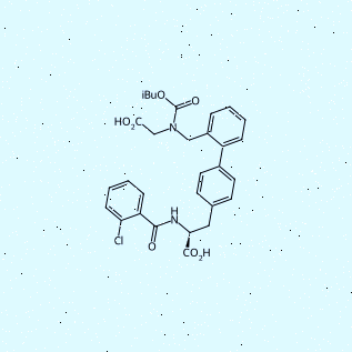 CC(C)COC(=O)N(CC(=O)O)Cc1ccccc1-c1ccc(C[C@H](NC(=O)c2ccccc2Cl)C(=O)O)cc1